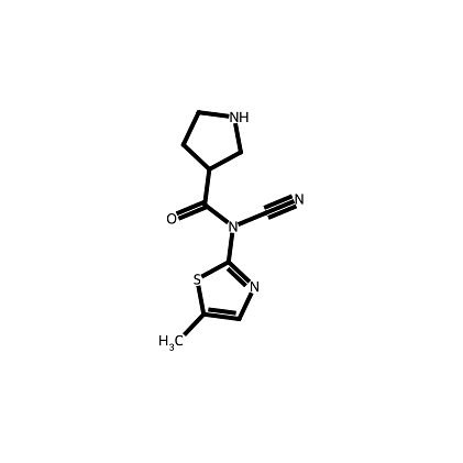 Cc1cnc(N(C#N)C(=O)C2CCNC2)s1